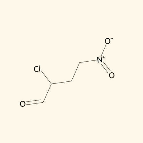 O=CC(Cl)CC[N+](=O)[O-]